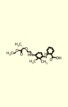 CCOC(=O)[C@H](C)OCCNc1ccc(Nc2ccccc2C(=O)O)c(C)c1C